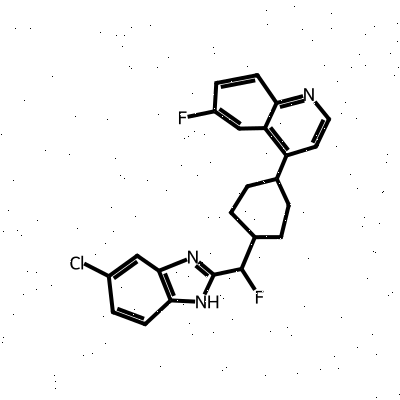 Fc1ccc2nccc(C3CCC(C(F)c4nc5cc(Cl)ccc5[nH]4)CC3)c2c1